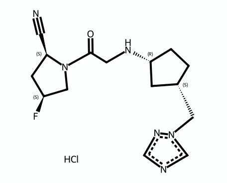 Cl.N#C[C@@H]1C[C@H](F)CN1C(=O)CN[C@@H]1CC[C@H](Cn2cncn2)C1